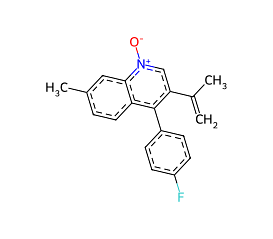 C=C(C)c1c[n+]([O-])c2cc(C)ccc2c1-c1ccc(F)cc1